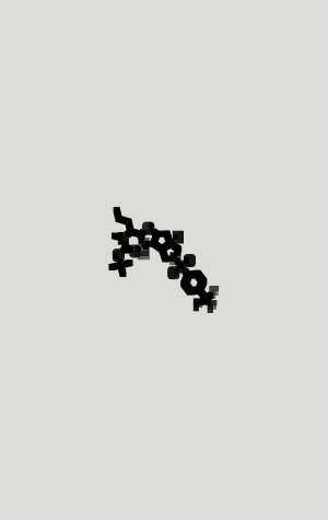 CCCC(C1NC2C(C[C@H]3CN(S(=O)(=O)c4ccc(C(F)(F)F)cc4)CC23)O1)N(C)C(=O)OC(C)(C)C